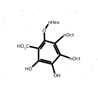 CCCCCCCCc1c(O)c(O)c(C(=O)O)c(OCCCCCC)c1CCCCCCCC